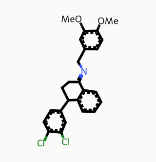 COc1ccc(CN=C2CCC(c3ccc(Cl)c(Cl)c3)c3ccccc32)cc1OC